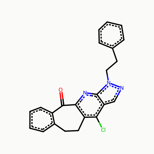 O=C1c2ccccc2CCc2c1nc1c(cnn1CCc1ccccc1)c2Cl